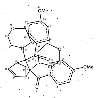 COc1ccc(C(=O)C2(N3CCOCC3)C3C=CC(C3)C2(C(=O)c2ccc(OC)cc2)N2CCOCC2)cc1